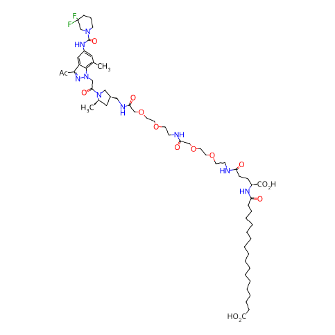 CC(=O)c1nn(CC(=O)N2C[C@@H](CNC(=O)COCCOCCNC(=O)COCCOCCNC(=O)CC[C@H](NC(=O)CCCCCCCCCCCCCCCCC(=O)O)C(=O)O)C[C@H]2C)c2c(C)cc(NC(=O)N3CCCC(F)(F)C3)cc12